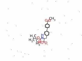 COC(=O)c1ccc(-c2ccc(CC(NC(=O)OC(C)(C)C)C(=O)O)cc2)cc1